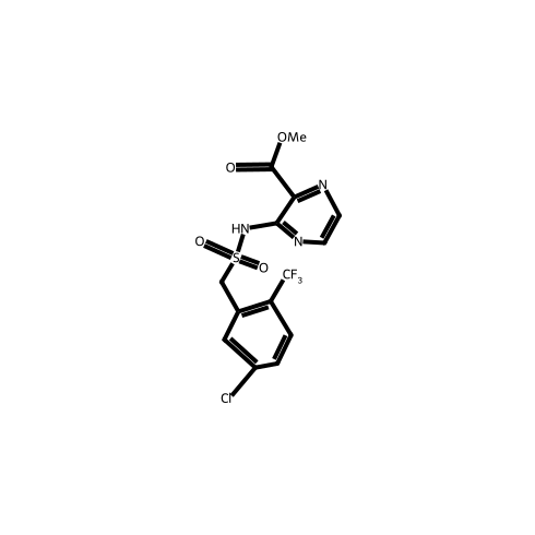 COC(=O)c1nccnc1NS(=O)(=O)Cc1cc(Cl)ccc1C(F)(F)F